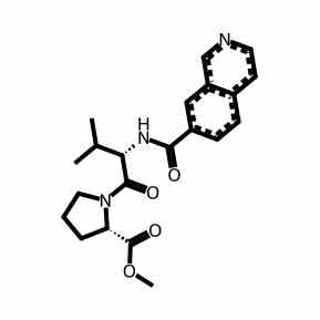 COC(=O)[C@@H]1CCCN1C(=O)[C@@H](NC(=O)c1ccc2ccncc2c1)C(C)C